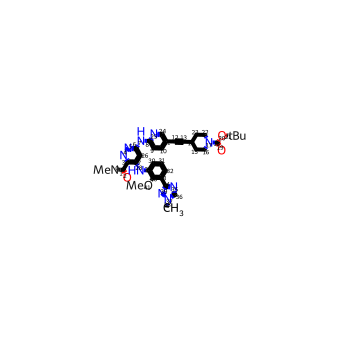 CNC(=O)c1nnc(Nc2ccc(C#CC3CCN(C(=O)OC(C)(C)C)CC3)cn2)cc1Nc1cccc(-c2ncn(C)n2)c1OC